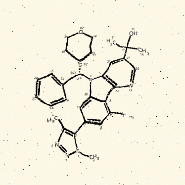 Cc1nnn(C)c1-c1cc(F)c2c3ncc(C(C)(C)O)cc3n([C@H](c3ccccc3)C3CCOCC3)c2c1